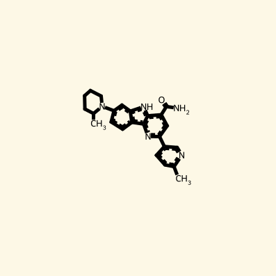 Cc1ccc(-c2cc(C(N)=O)c3[nH]c4cc(N5CCCCC5C)ccc4c3n2)cn1